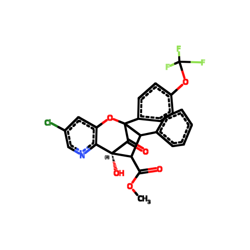 COC(=O)C1C(c2ccccc2)C2(c3ccc(OC(F)(F)F)cc3)Oc3cc(Cl)cnc3[C@@]1(O)C2=O